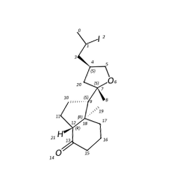 CC(I)C[C@H]1CO[C@](C)([C@H]2CC[C@H]3C(=O)CCC[C@@]32C)C1